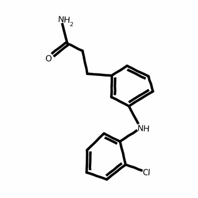 NC(=O)CCc1cccc(Nc2ccccc2Cl)c1